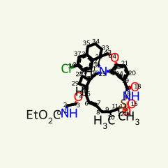 CCOC(=O)NCCO[C@H]1/C=C/C[C@H](C)[C@@H](C)S(=O)(=O)NC(=O)c2ccc3c(c2)N(C[C@@H]2CC[C@H]21)C[C@@]1(CCCc2cc(Cl)ccc21)CO3